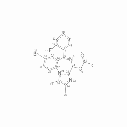 CC(=O)OC1N=C(c2ccccc2F)c2cc(Br)ccc2-n2c1nc(C)c2C